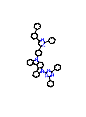 c1ccc(-c2cccc(-c3cc(-c4ccc(-n5c6ccccc6c6c7c8ccccc8n(-c8nc(-c9ccccc9)nc(-c9ccccc9)n8)c7ccc65)cc4)nc(-c4ccccc4)n3)c2)cc1